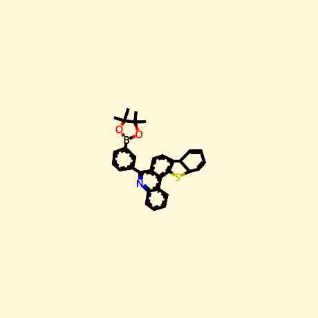 CC1(C)OB(c2cccc(-c3nc4ccccc4c4c5c(ccc34)C3C=CC=CC3S5)c2)OC1(C)C